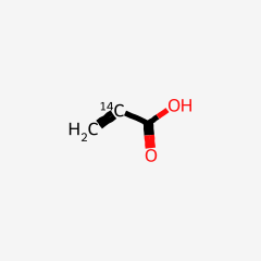 C=[14CH]C(=O)O